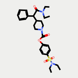 CCN(CC)C(=O)C(c1ccccc1)C1CCN(C(=O)Oc2ccc(S(=O)(=O)N(CC)CC)cc2)CC1